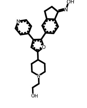 OCCN1CCC(c2cc(-c3ccncc3)c(-c3ccc4c(c3)CCC4=NO)o2)CC1